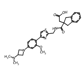 COc1cc(N2CC(N(C)C)C2)ccc1-c1csc(CNC(=O)C2(CC(=O)O)Cc3ccccc3C2)n1